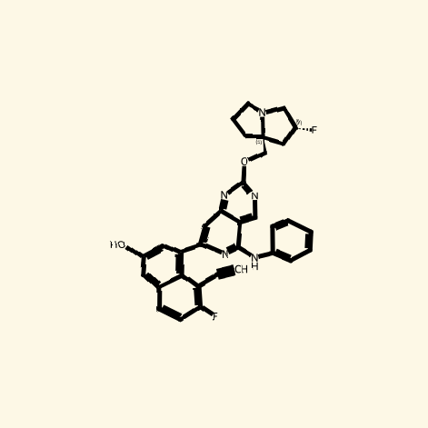 C#Cc1c(F)ccc2cc(O)cc(-c3cc4nc(OC[C@@]56CCCN5C[C@H](F)C6)ncc4c(Nc4ccccc4)n3)c12